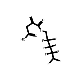 C=C(CC(=O)O)C(=O)OCC(F)(F)C(F)(F)C(F)(F)C(F)F